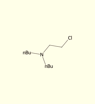 CCCCN(CCCl)CCCC